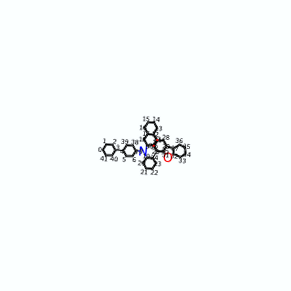 c1ccc(-c2ccc(N(c3ccc4ccccc4c3)c3ccccc3-c3cccc4c3oc3ccccc34)cc2)cc1